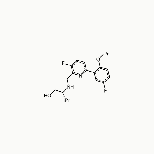 CC(C)Oc1ccc(F)cc1-c1ccc(F)c(CN[C@@H](CO)C(C)C)n1